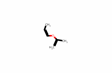 C=C(C)O/C=C\C